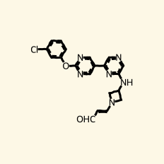 O=CC=CN1CC(Nc2cncc(-c3cnc(Oc4cccc(Cl)c4)nc3)n2)C1